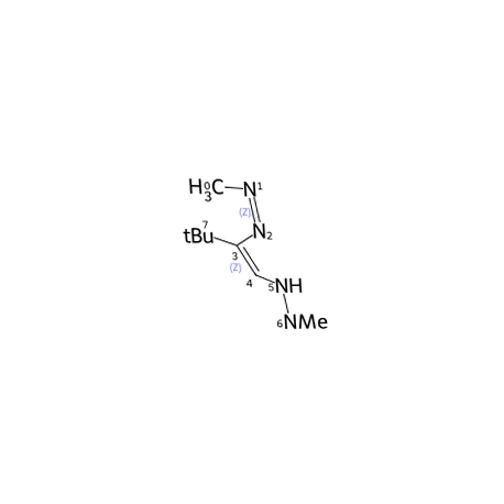 C/N=N\C(=C/NNC)C(C)(C)C